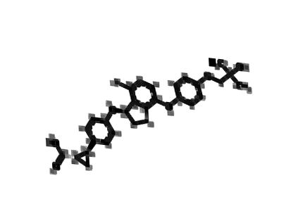 CC(C)(O)COc1ccc(Oc2ccc(F)c3c2CC[C@H]3Oc2ccc([C@H]3C[C@@H]3C(=O)O)cc2)cc1